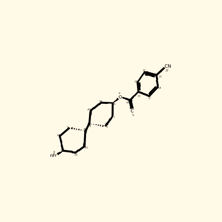 CCC[C@H]1CC[C@H]([C@H]2CC[C@H](OC(=O)c3ccc(C#N)cc3)CC2)CC1